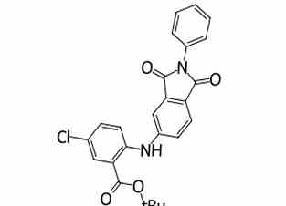 CC(C)(C)OC(=O)c1cc(Cl)ccc1Nc1ccc2c(c1)C(=O)N(c1ccccc1)C2=O